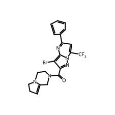 O=C(c1nn2c(C(F)(F)F)cc(-c3ccccc3)nc2c1Br)N1CCN2CCC=C2C1